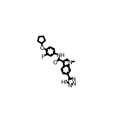 Cn1cc(C(=O)Nc2ccc(OC3CCCC3)c(F)c2)c2ccc(-c3nnn[nH]3)cc21